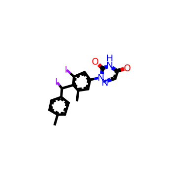 Cc1ccc(C(I)c2c(C)cc(-n3ncc(=O)[nH]c3=O)cc2I)cc1